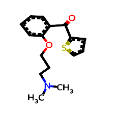 CN(C)CCCOc1ccccc1C(=O)c1cccs1